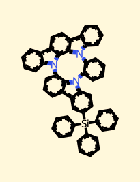 c1ccc([Si](c2ccccc2)(c2ccccc2)c2ccc3c(c2)c2cccc4c2n3c2ccccc2n2c3ccccc3c3ccc5c6ccccc6n4c5c32)cc1